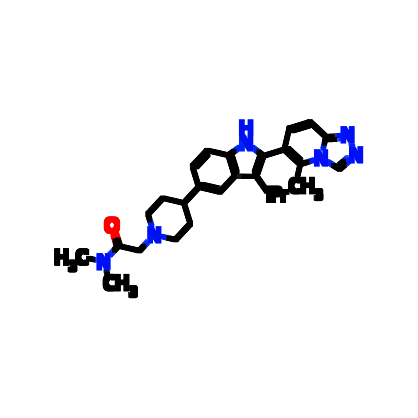 Cc1c(-c2[nH]c3ccc(C4CCN(CC(=O)N(C)C)CC4)cc3c2C(C)C)ccc2nncn12